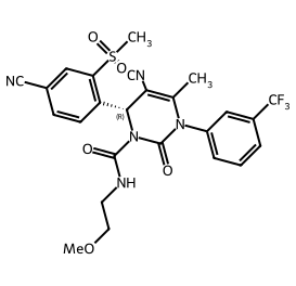 [C-]#[N+]C1=C(C)N(c2cccc(C(F)(F)F)c2)C(=O)N(C(=O)NCCOC)[C@@H]1c1ccc(C#N)cc1S(C)(=O)=O